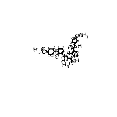 CNc1cc(Nc2cccn([C@H]3CC[C@H](OC)CC3)c2=O)nc2c(C(=O)NC3CC[C@@H](OC)C3)cnn12